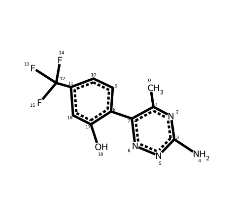 Cc1nc(N)nnc1-c1ccc(C(F)(F)F)cc1O